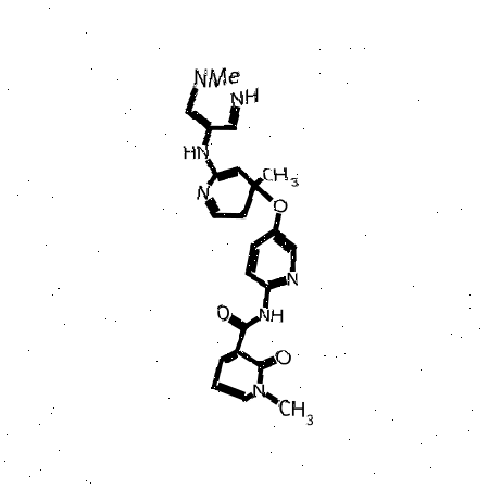 CN/C=C(\C=N)NC1=CC(C)(Oc2ccc(NC(=O)c3cccn(C)c3=O)nc2)CC=N1